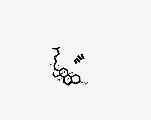 C=C.C=C.C=C.C=C.CC(C)CCC[C@@H](C)[C@H]1CC[C@H]2[C@@H]3CC=C4C[C@@H](O)CC[C@]4(C)[C@H]3CC[C@]12C